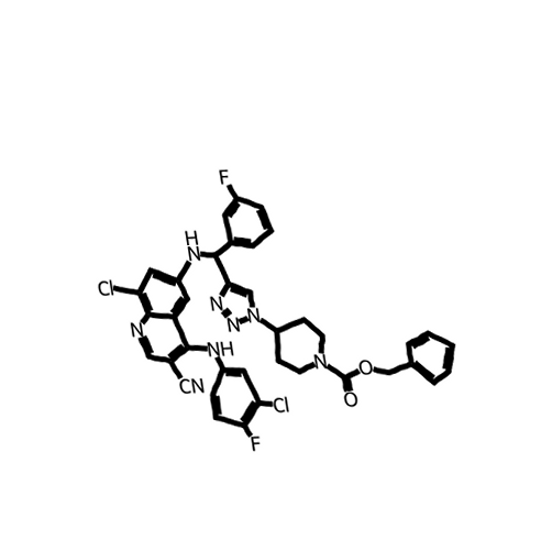 N#Cc1cnc2c(Cl)cc(NC(c3cccc(F)c3)c3cn(C4CCN(C(=O)OCc5ccccc5)CC4)nn3)cc2c1Nc1ccc(F)c(Cl)c1